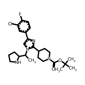 CC(C1CCCN1)n1cc(-c2ccc(F)c(Cl)c2)nc1C1CCN(C(=O)OC(C)(C)C)CC1